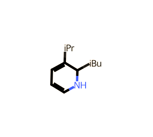 CCC(C)C1NC=CC=C1C(C)C